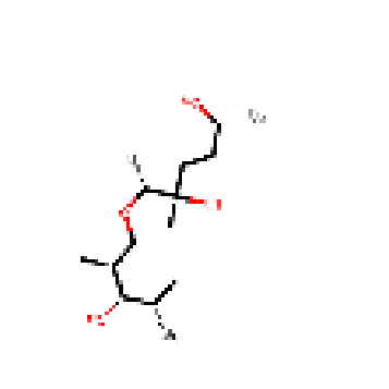 CCC(C)[C@@H](C)[C@H](O)[C@@H](C)CO[C@H](CC)[C@@](C)(O)CCC(O)[C@H](C)CC